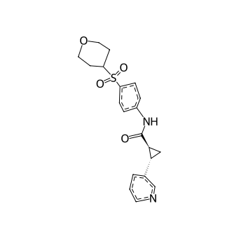 O=C(Nc1ccc(S(=O)(=O)C2CCOCC2)cc1)[C@H]1C[C@@H]1c1cccnc1